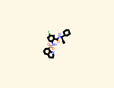 C#CC(NC(=O)c1cc(F)ccc1NS(=O)(=O)c1cccc2cccnc12)c1ccccc1